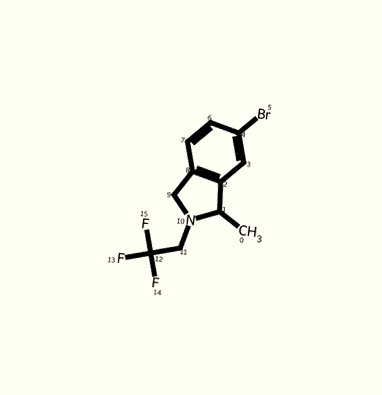 CC1c2cc(Br)ccc2CN1CC(F)(F)F